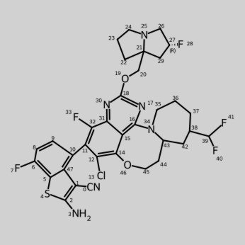 N#Cc1c(N)sc2c(F)ccc(-c3c(Cl)c4c5c(nc(OCC67CCCN6C[C@H](F)C7)nc5c3F)N3CCCC(C(F)F)CC3CCO4)c12